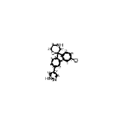 Clc1ccc(C2(c3ccc(-c4cn[nH]c4)cc3)CNCCO2)cc1